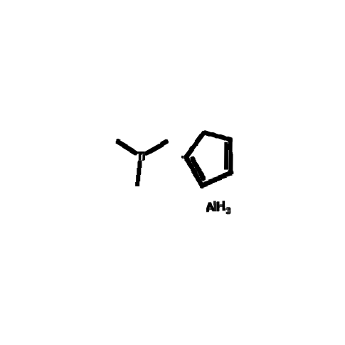 [AlH3].[CH3][Ti]([CH3])[CH3].[C]1=CC=CC1